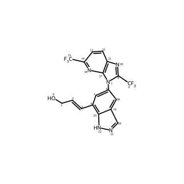 OCC=Cc1cc(-n2c(C(F)(F)F)nc3ccc(C(F)(F)F)nc32)cc2cn[nH]c12